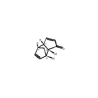 O=C1C=C[C@@H]2[C@H]1[C@@H]1C=C[C@H]2C1